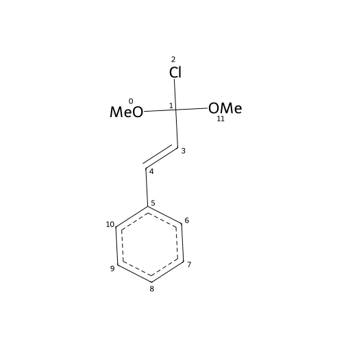 COC(Cl)(C=Cc1ccccc1)OC